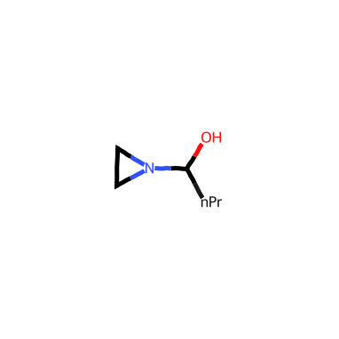 CCCC(O)N1CC1